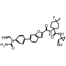 N=CN(C(N)=O)c1ccc(-c2ccc3cc(C(=O)NC4(C(=O)NC5(C=N)CC5)CCC(F)(F)CC4)oc3c2)cc1